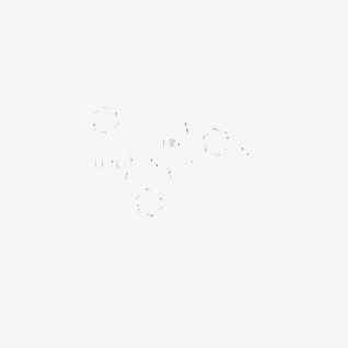 COc1ccc(C(N(CCCc2ccccc2)C(=O)[C@H](CC(C)C)NC(=O)c2ccc(N(C)C)cc2)S(N)(=O)=O)cc1